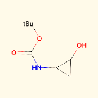 CC(C)(C)OC(=O)NC1CC1O